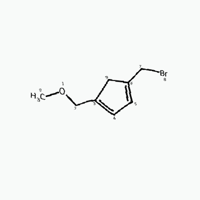 COCC1=CC=C(CBr)C1